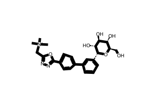 C[N+](C)(C)Cc1nnc(-c2ccc(-c3cccc([C@H]4O[C@H](CO)[C@@H](O)[C@H](O)[C@H]4O)c3)cc2)o1